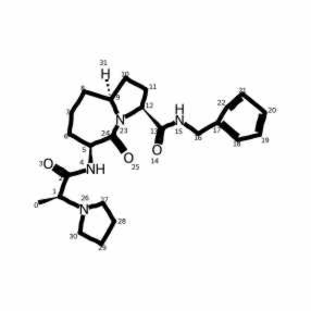 C[C@@H](C(=O)N[C@H]1CCC[C@H]2CC[C@@H](C(=O)NCc3ccccc3)N2C1=O)N1CCCC1